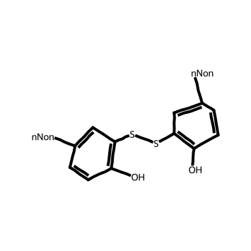 CCCCCCCCCc1ccc(O)c(SSc2cc(CCCCCCCCC)ccc2O)c1